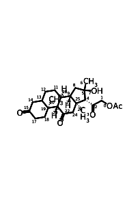 CC(=O)OCC(=O)[C@H]1C(C)(O)C[C@H]2[C@@H]3CCC4CC(=O)CC[C@]4(C)[C@H]3C(=O)C[C@@]21C